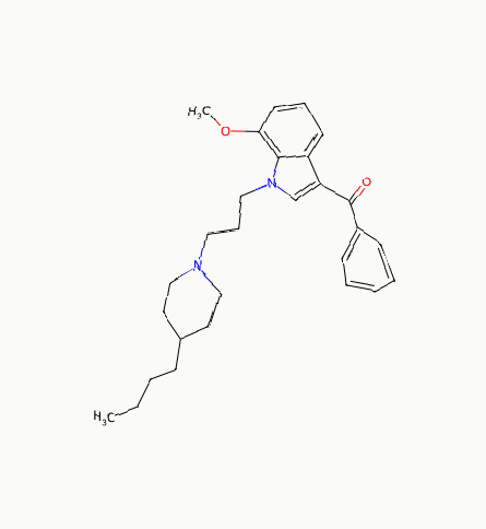 CCCCC1CCN(CCCn2cc(C(=O)c3ccccc3)c3cccc(OC)c32)CC1